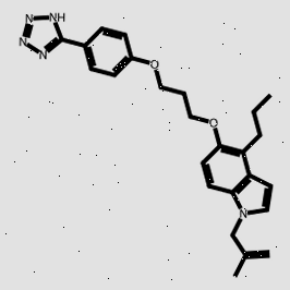 C=C(C)Cn1ccc2c(CCC)c(OCCCOc3ccc(-c4nnn[nH]4)cc3)ccc21